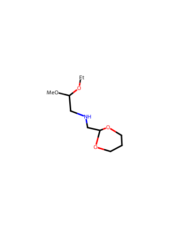 CCOC(CNCC1OCCCO1)OC